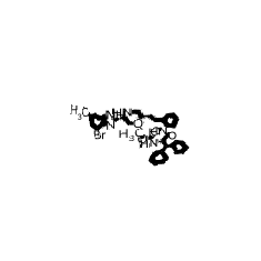 COC(=O)N[C@H](C(=O)Nc1ccccc1CC[C@@H]1CN[C@H](c2nc3c(Br)cc(C)cc3[nH]2)CO1)C(c1ccccc1)c1ccccc1